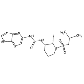 CC(C)CS(=O)(=O)N1CCCC(NC(=O)Nc2cnc3[nH]ccc3n2)C1I